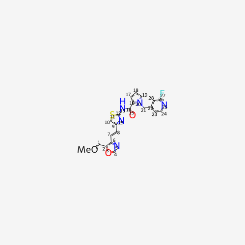 COCc1ocnc1C=Cc1csc(NC(=O)c2cccn2Cc2ccnc(F)c2)n1